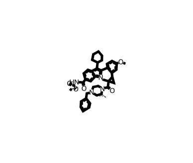 COc1ccc2c(c1)C1CC1(C(=O)N1CCN(Cc3ccccc3)C[C@H]1C)Cn1c-2c(C2CCCCC2)c2ccc(C(=O)NS(C)(=O)=O)cc21